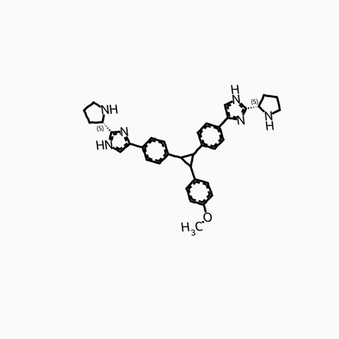 COc1ccc(C2C(c3ccc(-c4c[nH]c([C@@H]5CCCN5)n4)cc3)C2c2ccc(-c3c[nH]c([C@@H]4CCCN4)n3)cc2)cc1